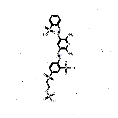 Nc1nc(N)c(/N=N/c2ccc(S(=O)(=O)CCOS(=O)(=O)O)cc2S(=O)(=O)O)cc1/N=N/c1ccccc1S(=O)(=O)O